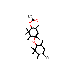 CCC(=O)OC1C(C)CC(C)(OC2C(C)CC(C(C)C)C(C)C2(C)C)C(C)C1(C)C